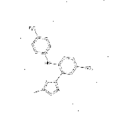 Cn1cnc(-c2cc([N+](=O)[O-])ccc2Nc2ccc(C(F)(F)F)cc2)c1